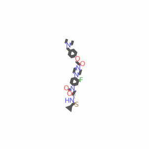 CCN(CC)Cc1ccc(OCC(=O)N2CCN(c3ccc(N4C[C@H](CNC(=S)C5CC5)OC4=O)cc3F)CC2)cc1